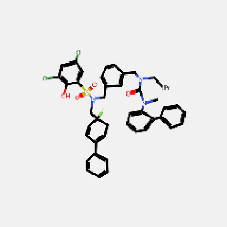 CC(C)CN(Cc1cccc(CN(CC2(F)C=CC(c3ccccc3)=CC2)S(=O)(=O)c2cc(Cl)cc(Cl)c2O)c1)C(=O)N(C)c1ccccc1-c1ccccc1